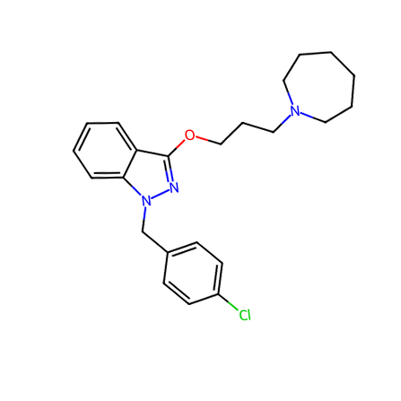 Clc1ccc(Cn2nc(OCCCN3CCCCCC3)c3ccccc32)cc1